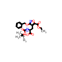 CCOC(=O)c1onc(OCc2ccccc2)c1CC(NC(=O)OC(C)(C)C)C(=O)O